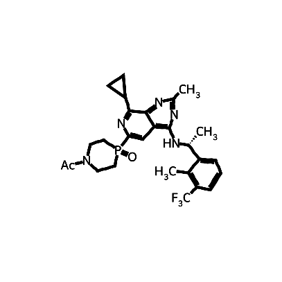 CC(=O)N1CCP(=O)(c2cc3c(N[C@H](C)c4cccc(C(F)(F)F)c4C)nc(C)nc3c(C3CC3)n2)CC1